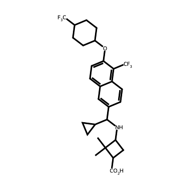 CC1(C)C(NC(c2ccc3c(C(F)(F)F)c(OC4CCC(C(F)(F)F)CC4)ccc3c2)C2CC2)CC1C(=O)O